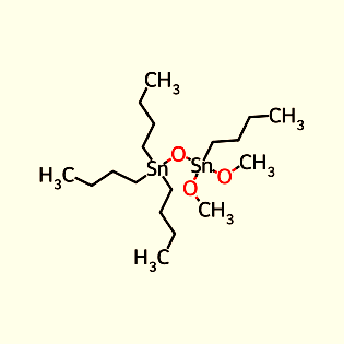 CCC[CH2][Sn]([CH2]CCC)([CH2]CCC)[O][Sn]([CH2]CCC)([O]C)[O]C